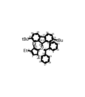 CCC1=CC(CC)[C]([Zr](=[C](c2ccccc2)c2ccccc2)[CH]2c3cc(C(C)(C)C)ccc3-c3ccc(C(C)(C)C)cc32)=C1CC